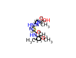 COc1ccc(C)c(NC(=O)c2cnc(Nc3ccn(C(C)C(=O)O)n3)s2)c1C